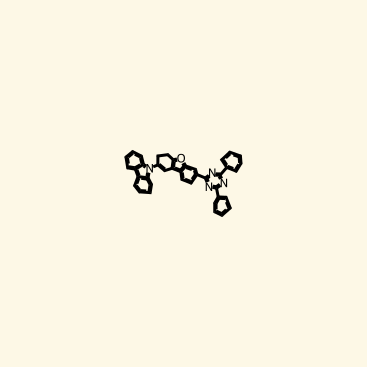 C1=C(n2c3ccccc3c3ccccc32)CCc2oc3cc(-c4nc(-c5ccccc5)nc(-c5ccccc5)n4)ccc3c21